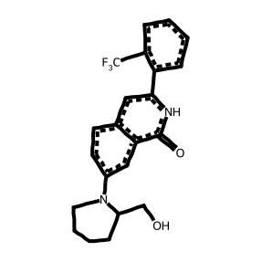 O=c1[nH]c(-c2ccccc2C(F)(F)F)cc2ccc(N3CCCCC3CO)cc12